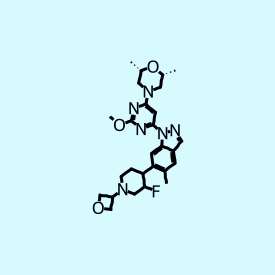 COc1nc(N2C[C@@H](C)O[C@@H](C)C2)cc(-n2ncc3cc(C)c(C4CCN(C5COC5)CC4F)cc32)n1